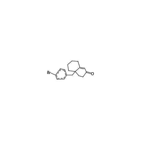 O=C1C=C2CCCCC2(Cc2ccc(Br)cc2)CC1